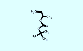 C=CC(C)OC(=O)OC(C)(C)C